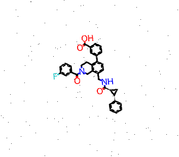 O=C(O)c1cccc(-c2ccc(CNC(=O)[C@H]3C[C@@H]3c3ccccc3)c3c2CCN(C(=O)c2cccc(F)c2)C3)c1